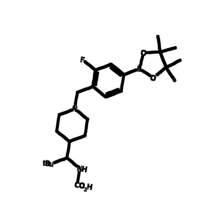 CC(C)(C)C(NC(=O)O)C1CCN(Cc2ccc(B3OC(C)(C)C(C)(C)O3)cc2F)CC1